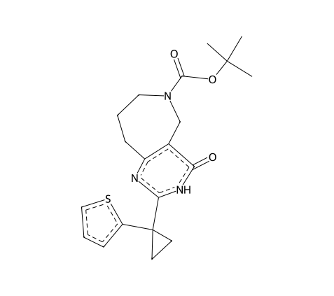 CC(C)(C)OC(=O)N1CCCc2nc(C3(c4cccs4)CC3)[nH]c(=O)c2C1